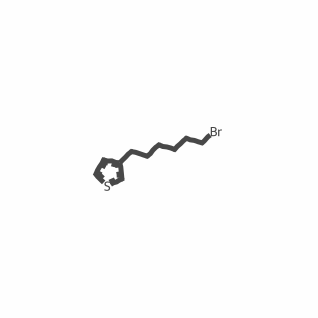 BrCCCCCCc1ccsc1